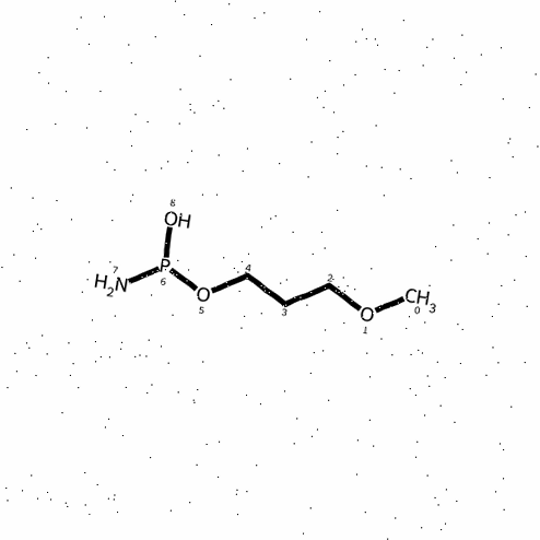 COCCCOP(N)O